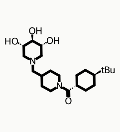 CC(C)(C)[C@H]1CC[C@H](C(=O)N2CCC(CN3C[C@@H](O)[C@H](O)[C@@H](O)C3)CC2)CC1